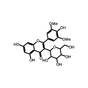 COc1cc(-c2oc3cc(O)cc(O)c3c(=O)c2C2OC(CO)C(O)C(O)C2O)cc(OC)c1O